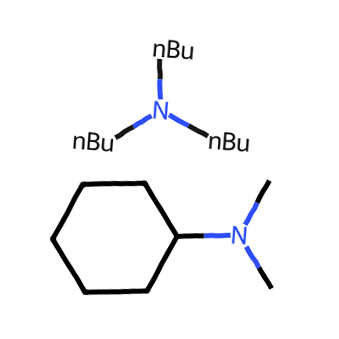 CCCCN(CCCC)CCCC.CN(C)C1CCCCC1